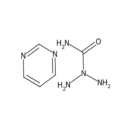 NC(=O)N(N)N.c1cncnc1